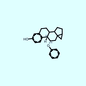 Oc1ccc2c(c1)CCC1C3CCC4CC43C[C@H](Oc3ccccc3)[C@H]21